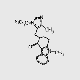 Cc1ncn(C(=O)O)c1CC1CCc2c(c3ccccc3n2C)C1=O